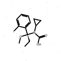 CC[C@@](OC)(c1ccccc1I)N(C(=O)O)C1CC1